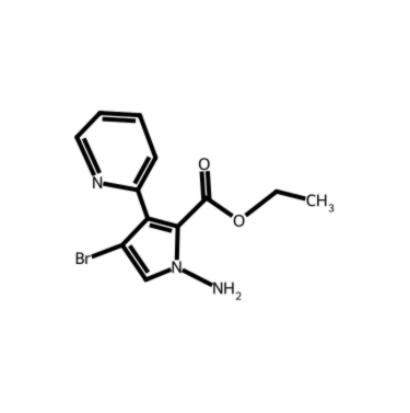 CCOC(=O)c1c(-c2ccccn2)c(Br)cn1N